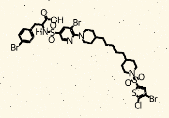 O=C(O)C(Cc1ccc(Br)cc1)NS(=O)(=O)c1cnc(N2CCC(CCCCCC3CCN(S(=O)(=O)c4cc(Br)c(Cl)s4)CC3)CC2)c(Br)c1